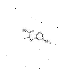 CC(Sc1cccc(N)c1)C(=O)O